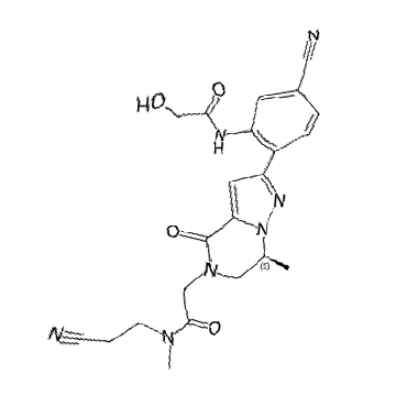 C[C@H]1CN(CC(=O)N(C)CCC#N)C(=O)c2cc(-c3ccc(C#N)cc3NC(=O)CO)nn21